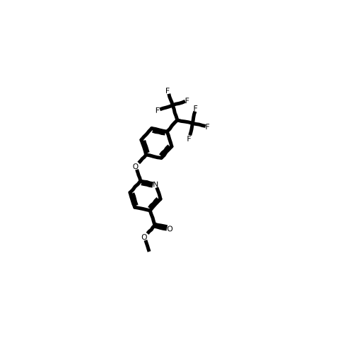 COC(=O)c1ccc(Oc2ccc(C(C(F)(F)F)C(F)(F)F)cc2)nc1